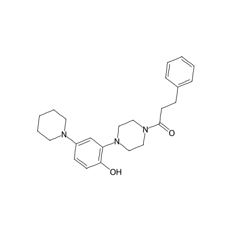 O=C(CCc1ccccc1)N1CCN(c2cc(N3CCCCC3)ccc2O)CC1